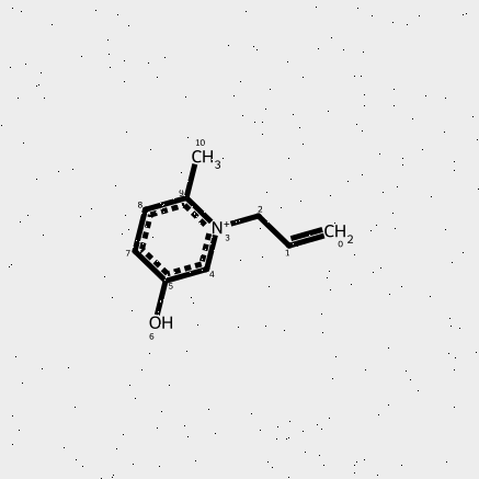 C=CC[n+]1cc(O)ccc1C